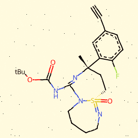 C#Cc1ccc(F)c([C@]2(C)CC[S@]3(=O)=NCCCCN3C(NC(=O)OC(C)(C)C)=N2)c1